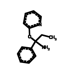 CCC(N)(Oc1ccccn1)c1ccccc1